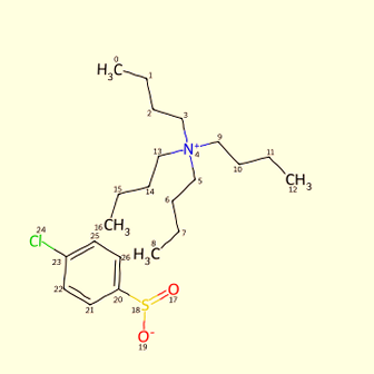 CCCC[N+](CCCC)(CCCC)CCCC.O=S([O-])c1ccc(Cl)cc1